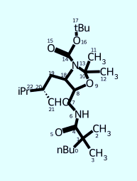 CCCCC(C)(C)C(=O)NCC1OC(C)(C)N(C(=O)OC(C)(C)C)C1C[C@H](C=O)C(C)C